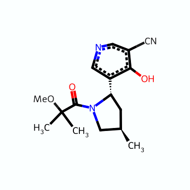 COC(C)(C)C(=O)N1C[C@H](C)C[C@H]1c1cncc(C#N)c1O